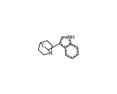 c1ccc2c(C3CC4CCN3CC4)c[nH]c2c1